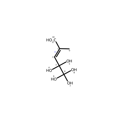 C/C(=C\C(O)(O)C(O)(O)O)C(=O)O